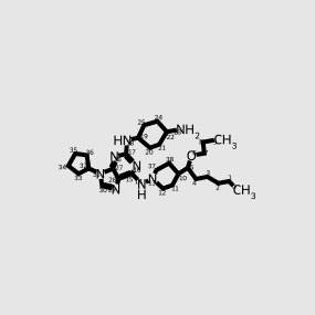 CCCCCC(OCCC)C1CCN(Nc2nc(NC3CCC(N)CC3)nc3c2ncn3C2CCCC2)CC1